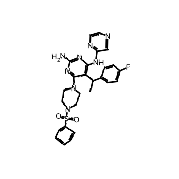 CC(c1ccc(F)cc1)c1c(Nc2cnccn2)nc(N)nc1N1CCN(S(=O)(=O)c2ccccc2)CC1